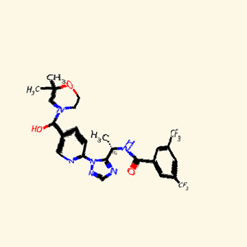 C[C@H](NC(=O)c1cc(C(F)(F)F)cc(C(F)(F)F)c1)c1ncnn1-c1ccc(C(O)N2CCOC(C)(C)C2)cn1